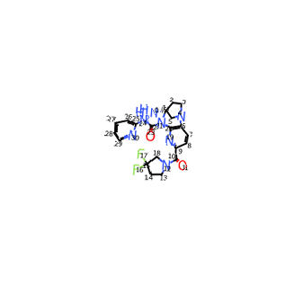 N[C@]12CCN(C1)c1ccc(C(=O)N3CCC(F)(F)C3)nc1N2C(=O)Nc1ccccn1